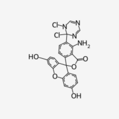 Nc1c(C2(Cl)N=CN=CN2Cl)ccc2c1C(=O)OC21c2ccc(O)cc2Oc2cc(O)ccc21